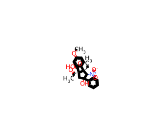 CC[C@]1(c2ccc(OC)cc2)[C@H]([N+](=O)[O-])[C@@](O)(c2ccccc2)C[C@@]1(C(C)=O)C(=O)O